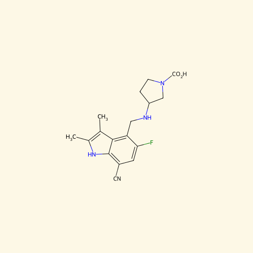 Cc1[nH]c2c(C#N)cc(F)c(CNC3CCN(C(=O)O)C3)c2c1C